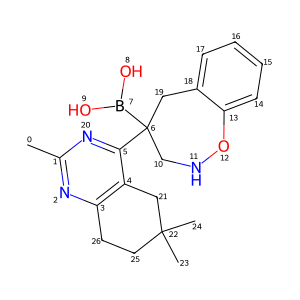 Cc1nc2c(c(C3(B(O)O)CNOc4ccccc4C3)n1)CC(C)(C)CC2